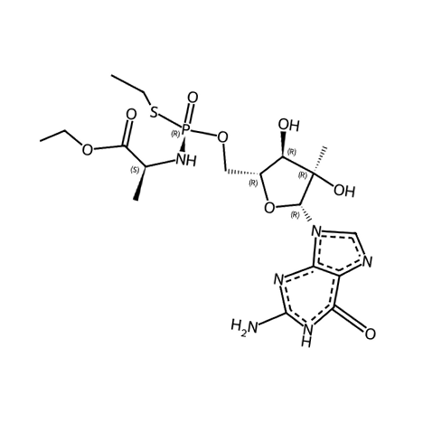 CCOC(=O)[C@H](C)N[P@@](=O)(OC[C@H]1O[C@@H](n2cnc3c(=O)[nH]c(N)nc32)[C@](C)(O)[C@@H]1O)SCC